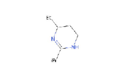 CCC1CCNC(C(C)C)=N1